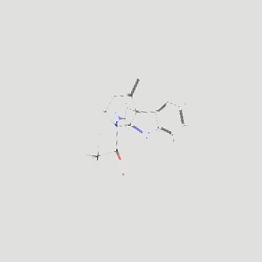 C=C1CCC2C3=Nc4ccccc4C13CCN2C(=O)C(F)(F)F